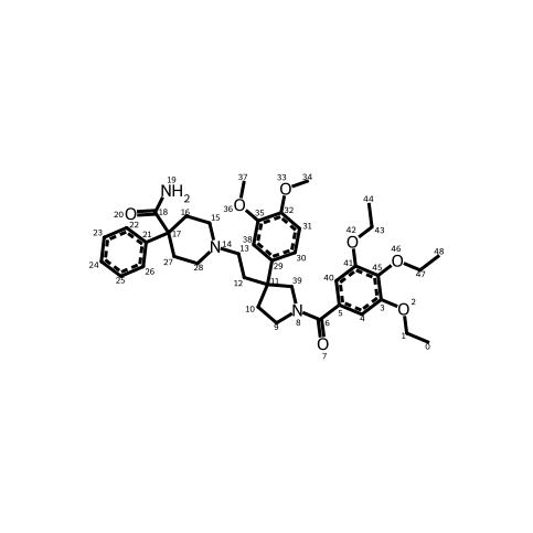 CCOc1cc(C(=O)N2CCC(CCN3CCC(C(N)=O)(c4ccccc4)CC3)(c3ccc(OC)c(OC)c3)C2)cc(OCC)c1OCC